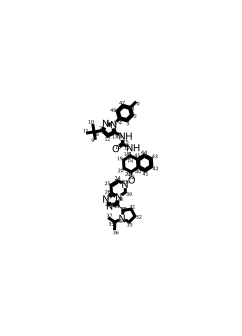 Cc1ccc(-n2nc(C(C)(C)C)cc2NC(=O)N[C@H]2CC[C@@H](ON3C=Cc4nnc([C@@H]5CCCN5C(C)C)n4C3)c3ccccc32)cc1